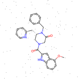 COc1cccc2[nH]c(C(=O)N3CC(=O)N(Cc4ccccc4)[C@@H](Cc4ccccn4)C3)cc12